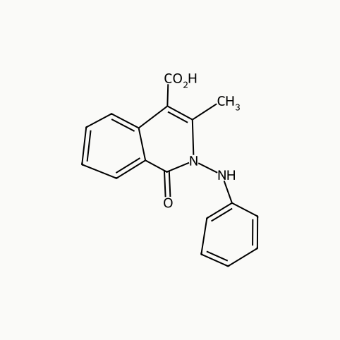 Cc1c(C(=O)O)c2ccccc2c(=O)n1Nc1ccccc1